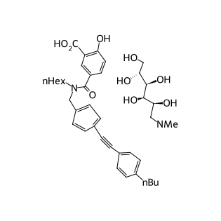 CCCCCCN(Cc1ccc(C#Cc2ccc(CCCC)cc2)cc1)C(=O)c1ccc(O)c(C(=O)O)c1.CNC[C@H](O)[C@@H](O)[C@H](O)[C@H](O)CO